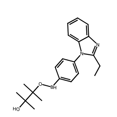 CCc1nc2ccccc2n1-c1ccc(BOC(C)(C)C(C)(C)O)cc1